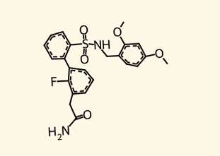 COc1ccc(CNS(=O)(=O)c2ccccc2-c2cccc(CC(N)=O)c2F)c(OC)c1